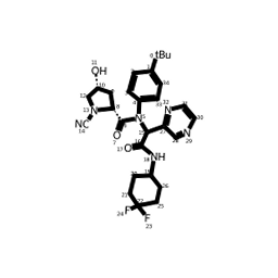 CC(C)(C)c1ccc(N(C(=O)[C@H]2C[C@@H](O)CN2C#N)C(C(=O)NC2CCC(F)(F)CC2)c2cnccn2)cc1